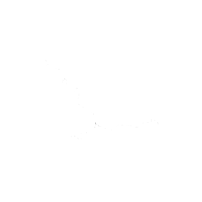 CCCCN(C)CCCO[C]=O